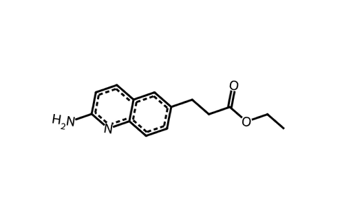 CCOC(=O)CCc1ccc2nc(N)ccc2c1